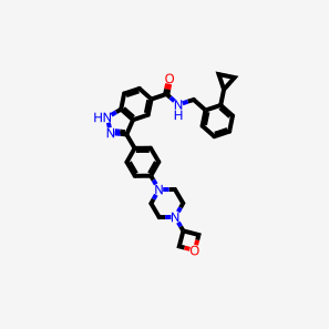 O=C(NCc1ccccc1C1CC1)c1ccc2[nH]nc(-c3ccc(N4CCN(C5COC5)CC4)cc3)c2c1